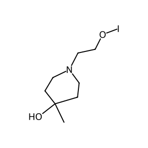 CC1(O)CCN(CCOI)CC1